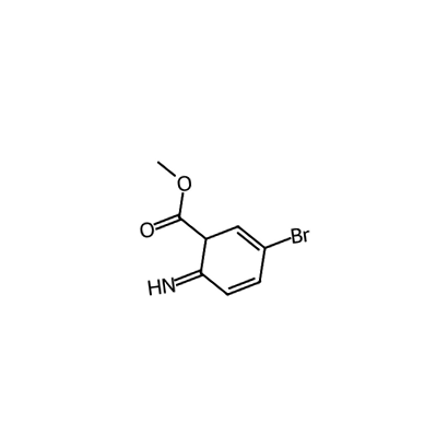 COC(=O)C1C=C(Br)C=CC1=N